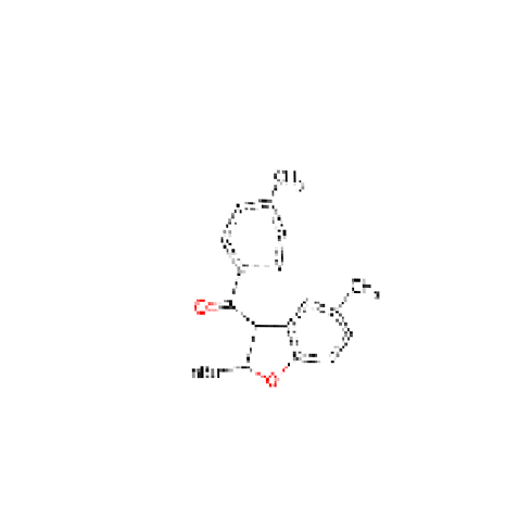 CCCCC1Oc2ccc(C)cc2C1C(=O)c1ccc(C)cc1